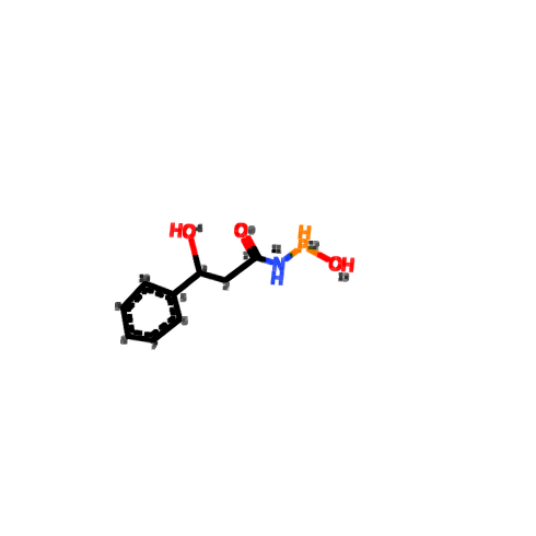 O=C(CC(O)c1ccccc1)NPO